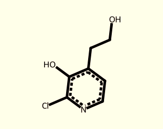 OCCc1ccnc(Cl)c1O